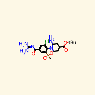 CC(C)(C)OC(=O)C1CCN(c2c(Cl)cc(C(=O)N=C(N)N)cc2S(C)(=O)=O)C(N)C1